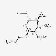 C=CCO[C@H]1O[C@H](CI)[C@@H](OC(C)=O)[C@H](OC(C)=O)[C@@H]1NC(C)=O